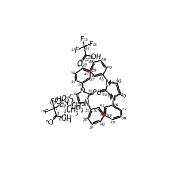 CC(=O)O.CC(=O)O.O=C(O)C(F)(F)F.O=C(O)C(F)(F)F.c1ccc(-n2ccn(-c3ccccc3)[c]2=[Pd]=[c]2n(-c3ccccc3)ccn2-c2ccccc2)cc1